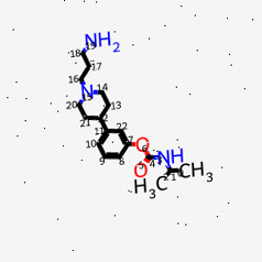 CC(C)NC(=O)Oc1cccc(C2CCN(CCCN)CC2)c1